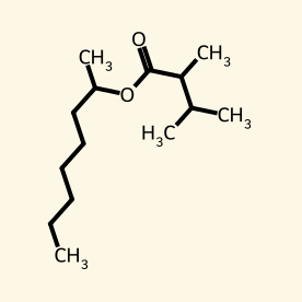 CCCCCCC(C)OC(=O)C(C)C(C)C